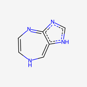 C1=CNC=c2[nH]cnc2=N1